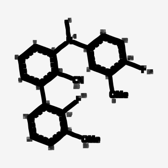 COc1cc(N(C)c2cccc(-c3cccc(OC)c3F)c2C#N)ccc1F